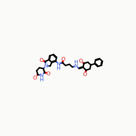 O=C1CCC(N2Cc3c(NC(=O)CCCNC=C4C(=O)CC(c5ccccc5)CC4=O)cccc3C2=O)C(=O)N1